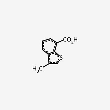 Cc1csc2c(C(=O)O)cccc12